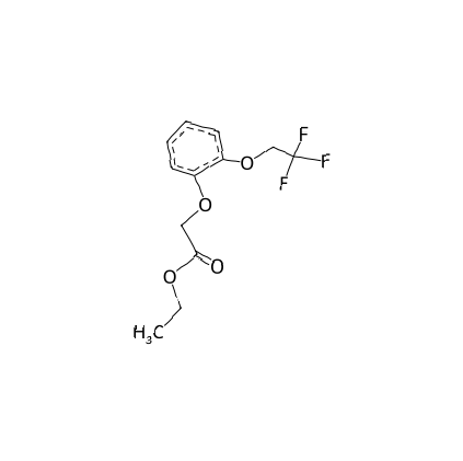 CCOC(=O)COc1ccccc1OCC(F)(F)F